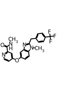 CNC(=O)c1cc(Oc2ccc3c(c2)nc(Cc2ccc(C(F)(F)F)cc2)n3C)ccn1